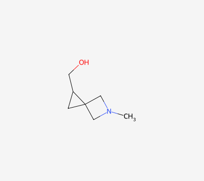 CN1CC2(CC2CO)C1